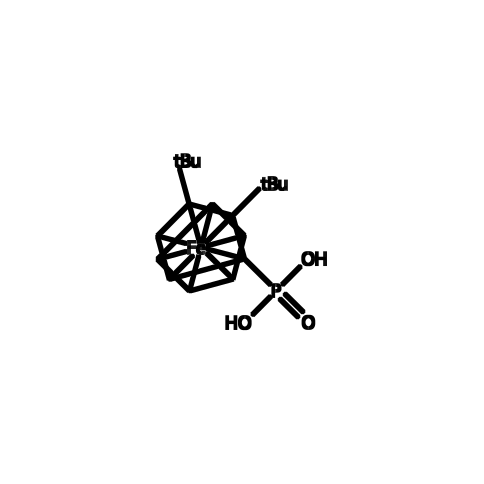 CC(C)(C)[C]12[CH]3[CH]4[C]5(P(=O)(O)O)[C]1(C(C)(C)C)[Fe]34251678[CH]2[CH]1[CH]6[CH]7[CH]28